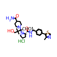 Cc1ncsc1-c1ccc([C@H](C)NC(=O)[C@@H]2CCCN2[C@@](C=O)(N2CCC(C(N)=O)CC2)C(C)(C)CO)cc1.Cl